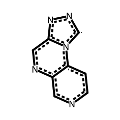 [c]1nnc2cnc3cnccc3n12